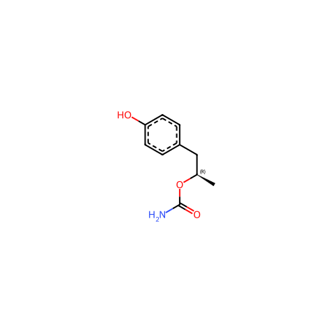 C[C@H](Cc1ccc(O)cc1)OC(N)=O